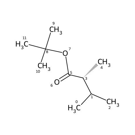 CC(C)[C@@H](C)C(=O)OC(C)(C)C